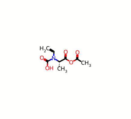 C=CN(C(=O)O)[C@@H](C)C(=O)OC(C)=O